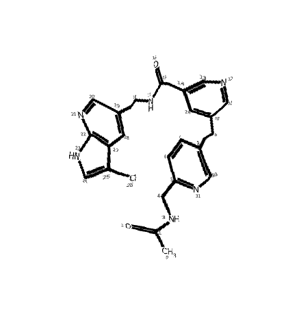 CC(=O)NCc1ccc(Cc2cncc(C(=O)NCc3cnc4[nH]cc(Cl)c4c3)c2)cn1